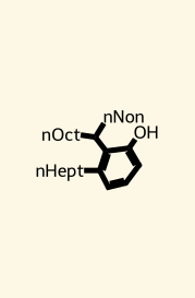 CCCCCCCCCC(CCCCCCCC)c1c(O)cccc1CCCCCCC